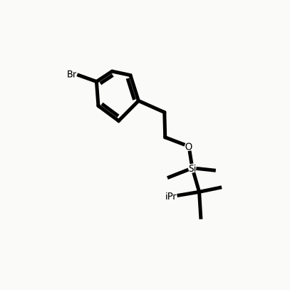 CC(C)C(C)(C)[Si](C)(C)OCCc1ccc(Br)cc1